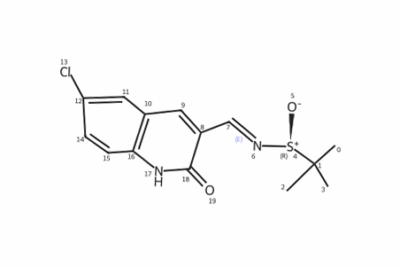 CC(C)(C)[S@+]([O-])/N=C/c1cc2cc(Cl)ccc2[nH]c1=O